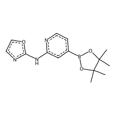 CC1(C)OB(c2ccnc(Nc3ncco3)c2)OC1(C)C